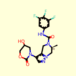 C[C@H]1Cn2ncc(N3CC(O)COC3=O)c2CN1C(=O)Nc1cc(F)c(F)c(F)c1